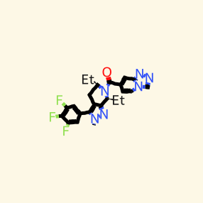 CC[C@H]1Cc2c(nn(C)c2-c2cc(F)c(F)c(F)c2)[C@@H](CC)N1C(=O)c1ccn2cnnc2c1